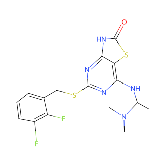 CC(Nc1nc(SCc2cccc(F)c2F)nc2[nH]c(=O)sc12)N(C)C